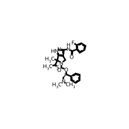 CC(=S)C1(C)c2[nH]nc(NC(=O)c3ccccc3F)c2CN1C(=O)O[C@H](CN(C)C)c1ccccc1